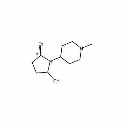 CC[C@@H]1CCC(O)N1C1CCN(C)CC1